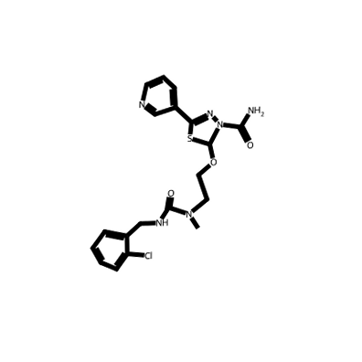 CN(CCOC1SC(c2cccnc2)=NN1C(N)=O)C(=O)NCc1ccccc1Cl